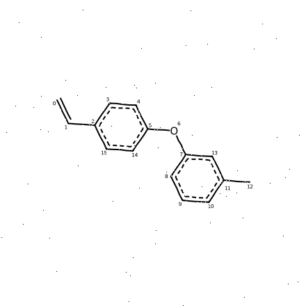 C=Cc1ccc(Oc2cccc(C)c2)cc1